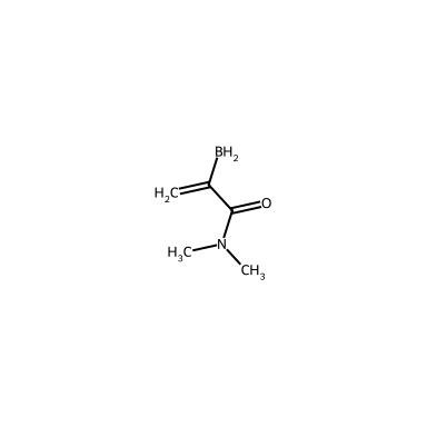 BC(=C)C(=O)N(C)C